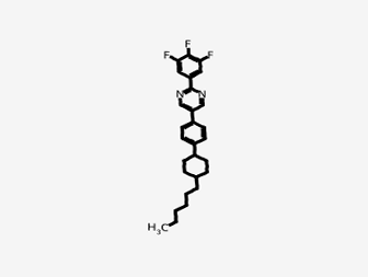 CCCCCCC1CCC(c2ccc(-c3cnc(-c4cc(F)c(F)c(F)c4)nc3)cc2)CC1